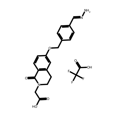 NN=Cc1ccc(COc2ccc3c(c2)CCN(CC(=O)O)C3=O)cc1.O=C(O)C(F)(F)F